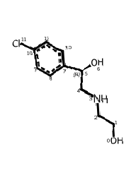 OCCNC[C@H](O)c1ccc(Cl)cc1